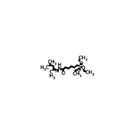 CCO[Si](CCCCCC(=O)NN=C(C)CC(C)C)(OCC)OCC